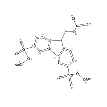 COOS(=O)(=O)c1ccc2c(c1)-c1cc(S(=O)(=O)OOC)ccc1C2COC(=O)Cl